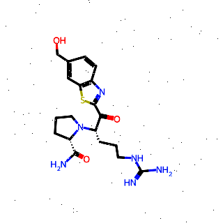 N=C(N)NCCC[C@@H](C(=O)c1nc2ccc(CO)cc2s1)N1CCC[C@H]1C(N)=O